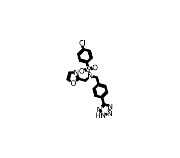 O=S(=O)(c1ccc(Cl)cc1)N(Cc1ccc(-c2nn[nH]n2)cc1)Cc1ncco1